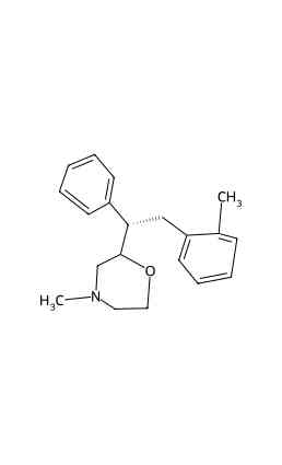 Cc1ccccc1C[C@@H](c1ccccc1)C1CN(C)CCO1